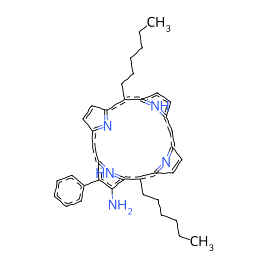 CCCCCCc1c2nc(cc3[nH]c(c(N)c3-c3ccccc3)c(CCCCCC)c3nc(cc4ccc1[nH]4)C=C3)C=C2